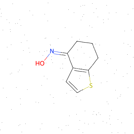 O/N=C1/CCCc2sccc21